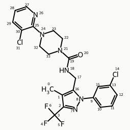 Cc1c(C(F)(F)F)nn(-c2cccc(Cl)c2)c1CNC(=O)N1CCN(c2ncccc2Cl)CC1